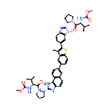 COC(=O)N[C@H](C(=O)N1CCC[C@H]1c1nc2ccc(-c3sc4ccc(-c5ccc6c(ccc7nc([C@@H]8CCCN8C(=O)[C@@H](NC(=O)OC)C(C)C)[nH]c76)c5)cc4c3C)cc2[nH]1)C(C)C